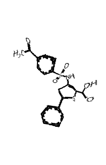 CC(=O)c1ccc(S(=O)(=O)NC2=C(C(=O)O)SC(c3ccccc3)C2)cc1